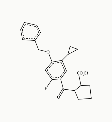 CCOC(=O)C1CCCC1C(=O)c1cc(C2CC2)c(OCc2ccccc2)cc1F